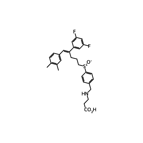 Cc1ccc(/C=C(\CCC[S+]([O-])c2ccc(CNCCC(=O)O)cc2)c2cc(F)cc(F)c2)cc1C